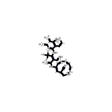 C=C/N=C(/N/C(=C(\C=N)C(=C)NC1=C/C(C#N)=C/N/N=C\C=N/N=C\1)C(F)(F)F)C(/C=C\C)=C(C)C=C